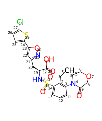 CCc1c(N2CCOCC2=O)cccc1S(=O)(=O)N[C@@H](Cc1cc(-c2ccc(Cl)s2)on1)C(=O)O